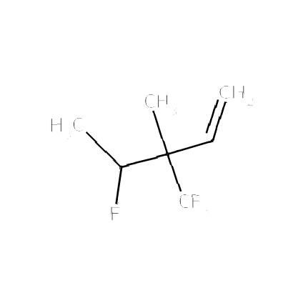 C=CC(C)(C(C)F)C(F)(F)F